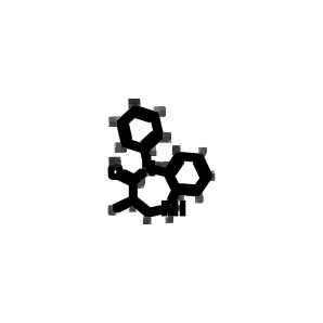 CC1CNc2ccccc2N(c2ccccc2)C1=O